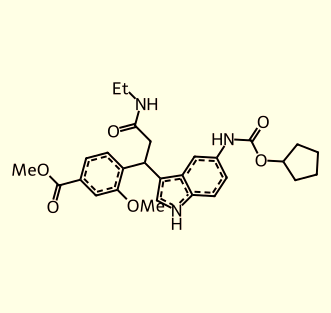 CCNC(=O)CC(c1ccc(C(=O)OC)cc1OC)c1c[nH]c2ccc(NC(=O)OC3CCCC3)cc12